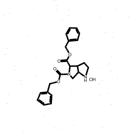 Cl.O=C(OCc1ccccc1)C1C2CCNC2CN1C(=O)OCc1ccccc1